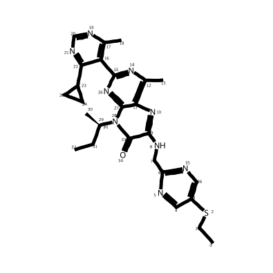 CCSc1cnc(CNc2nc3c(C)nc(-c4c(C)ncnc4C4CC4)nc3n([C@H](C)CC)c2=O)nc1